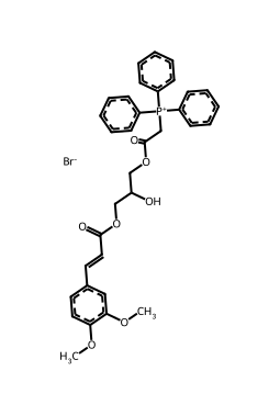 COc1ccc(/C=C/C(=O)OCC(O)COC(=O)C[P+](c2ccccc2)(c2ccccc2)c2ccccc2)cc1OC.[Br-]